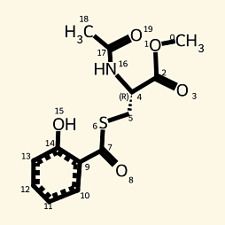 COC(=O)[C@H](CSC(=O)c1ccccc1O)NC(C)=O